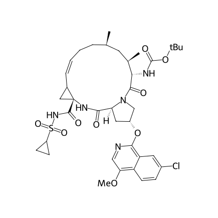 COc1cnc(O[C@@H]2C[C@H]3C(=O)N[C@]4(C(=O)NS(=O)(=O)C5CC5)CC4/C=C\CC[C@@H](C)C[C@@H](C)[C@H](NC(=O)OC(C)(C)C)C(=O)N3C2)c2cc(Cl)ccc12